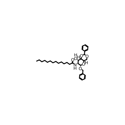 CCCCCCCCCCCCCC(=O)N[C@H]1[C@@H](OCc2ccccc2)O[C@@H]2COC(c3ccccc3)O[C@H]2[C@@H]1O